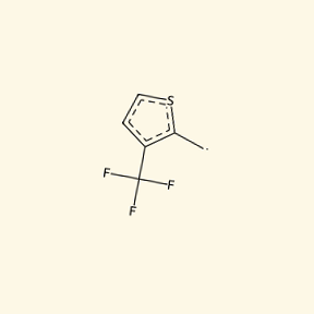 [CH2]c1sccc1C(F)(F)F